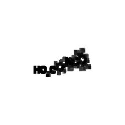 Cn1c(-c2ccc(C(=O)O)cc2)cc2cc3c(cc21)C(C)(C)CCC3(C)C